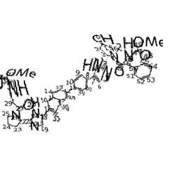 C=C1C[C@@H](c2ncc(-c3ccc(-c4ccc5cc(-c6cnc([C@@H]7CCCN7C(=O)CNC(=O)OC)[nH]6)ccc5c4)cc3)[nH]2)N(C(=O)[C@H](NC(=O)OC)c2ccccc2)C1